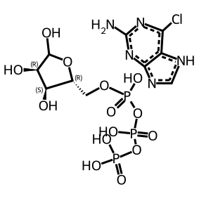 Nc1nc(Cl)c2[nH]cnc2n1.O=P(O)(O)OP(=O)(O)OP(=O)(O)OC[C@H]1OC(O)[C@H](O)[C@@H]1O